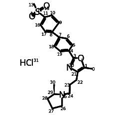 Cc1oc(-c2ccc(-c3ccc(S(C)(=O)=O)cc3)cc2)nc1CCCN1CCC[C@H]1C.Cl